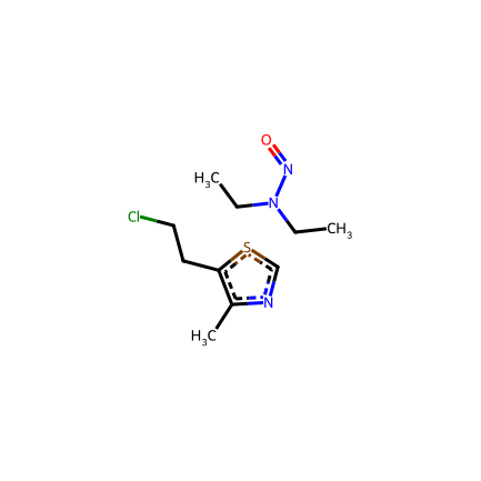 CCN(CC)N=O.Cc1ncsc1CCCl